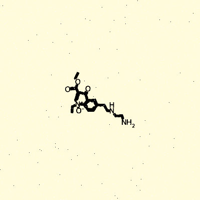 CCOC(=O)C1=C[N+]([O-])(CC)c2ccc(CCNCCN)cc2C1=O